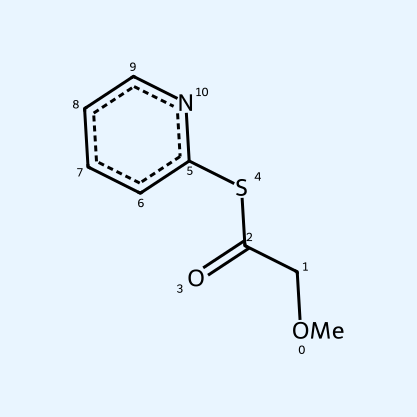 COCC(=O)Sc1ccccn1